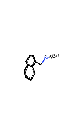 CC(C)(C)[N]Cc1cccc2ccccc12